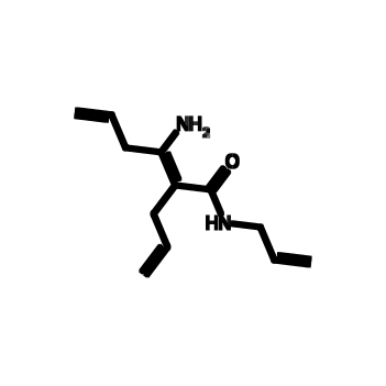 C=CCNC(=O)/C(CC=C)=C(\N)CC=C